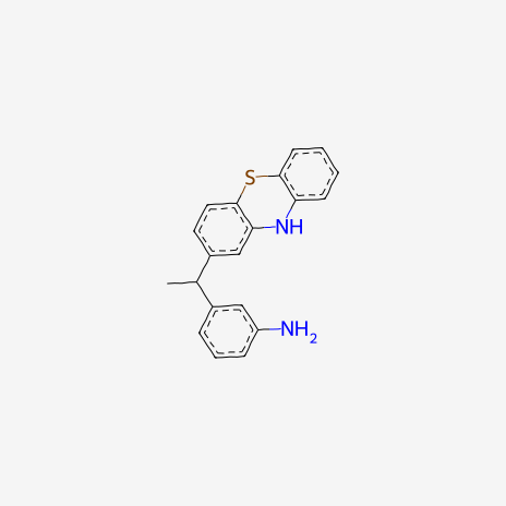 CC(c1cccc(N)c1)c1ccc2c(c1)Nc1ccccc1S2